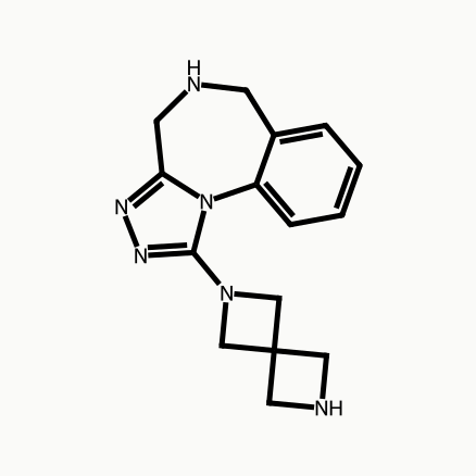 c1ccc2c(c1)CNCc1nnc(N3CC4(CNC4)C3)n1-2